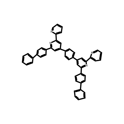 c1ccc(-c2ccc(-c3cc(-c4ccc(-c5cc(-c6ccc(-c7ccccc7)cc6)nc(-c6ccccn6)c5)cc4)cc(-c4ccccn4)n3)cc2)cc1